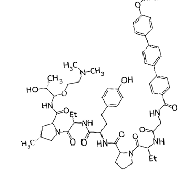 CCCCCOc1ccc(-c2ccc(-c3ccc(C(=O)NCC(=O)NC(CC)C(=O)N4CCCC4C(=O)NC(CCc4ccc(O)cc4)C(=O)NC(CC)C(=O)N4C[C@H](C)CC4C(=O)NC(OCCN(C)C)[C@@H](C)O)cc3)cc2)cc1